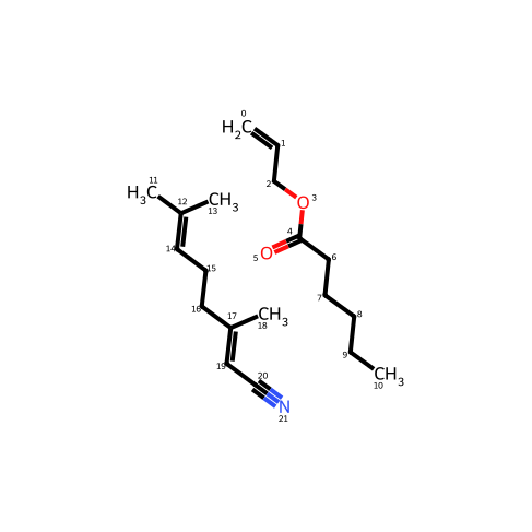 C=CCOC(=O)CCCCC.CC(C)=CCC/C(C)=C/C#N